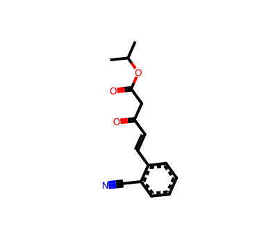 CC(C)OC(=O)CC(=O)C=Cc1ccccc1C#N